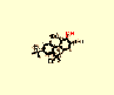 CCC(C)(C)c1ccc(-c2c(C(=O)O)cc(C(C)(C)C)c(O)c2C(C)(C)C)c(C(C)(C)CC)c1